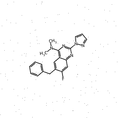 CN(C)c1nc(-n2cccn2)nc2cc(F)c(Cc3ccccc3)cc12